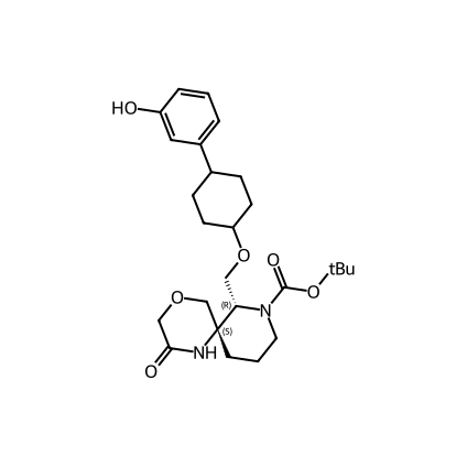 CC(C)(C)OC(=O)N1CCC[C@@]2(COCC(=O)N2)[C@@H]1COC1CCC(c2cccc(O)c2)CC1